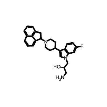 NC[C@@H](O)Cn1cc(C2CCN(C3Cc4cccc5cccc3c45)CC2)c2ccc(F)cc21